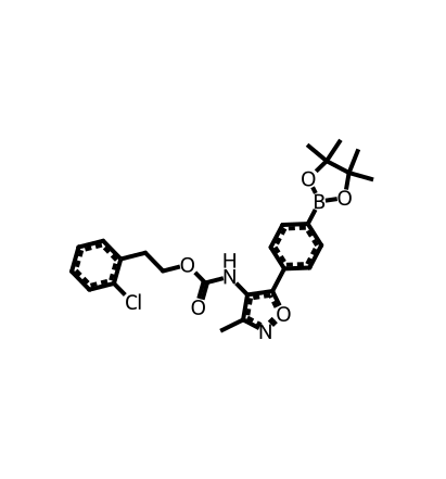 Cc1noc(-c2ccc(B3OC(C)(C)C(C)(C)O3)cc2)c1NC(=O)OCCc1ccccc1Cl